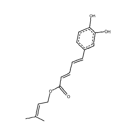 CC(C)=CCOC(=O)C=CC=Cc1ccc(O)c(O)c1